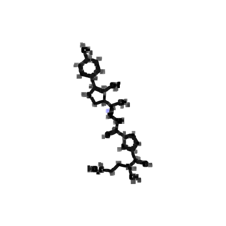 C/C(=N\NC(=O)c1ccc(C(=O)N(C)CCC(=O)O)s1)C1CSC(c2ccc(C(F)(F)F)cc2)=C1O